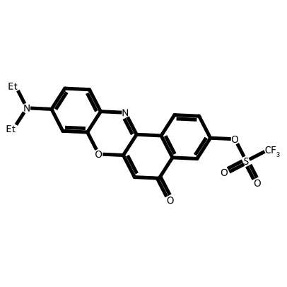 CCN(CC)c1ccc2nc3c4ccc(OS(=O)(=O)C(F)(F)F)cc4c(=O)cc-3oc2c1